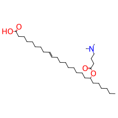 CCCCCCC(CCCCCCCCC=CCCCCCCCC(=O)O)OC(=O)CCCN(C)C